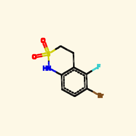 O=S1(=O)CCc2c(ccc(Br)c2F)N1